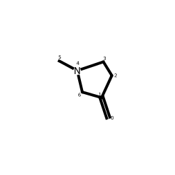 C=C1CCN(C)C1